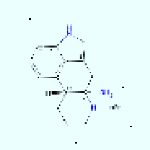 CCCN1CCC[C@@H]2c3cccc4[nH]cc(c34)C[C@]21N